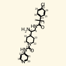 CC(C)(C(=O)NCC(N)C1CCN(C(=O)Nc2ccncc2)CC1)c1ccc(Cl)cc1